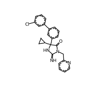 N=C1NC(c2cccc(-c3cccc(Cl)c3)c2)(C2CC2)C(=O)N1Cc1ccccn1